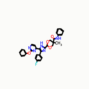 CC1(C(=O)Nc2ccccc2)COC(c2nc(-c3ccc(F)cc3)c(-c3ccnc(Oc4ccccc4)n3)[nH]2)OC1